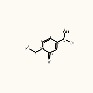 CC(C)Cn1ccc(B(O)O)cc1=O